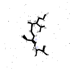 C=C/C(=C\N=C(\C)C(C)C)CCC(C)C(CCC)C(C)C